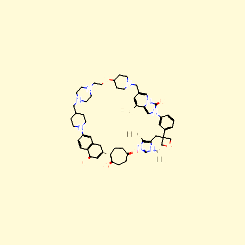 Cc1ncn(C)c1CC1(c2cccc(-n3cc4c(C(F)(F)F)cc(CN5CCC(OCCN6CCN(CC7CCN(c8ccc9c(c8)CC([C@H]8CCC(=O)CCC8=O)=CC9=O)CC7)CC6)CC5)cn4c3=O)c2)COC1